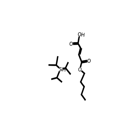 CC(C)[SiH](C(C)C)C(C)C.CCCCCOC(=O)/C=C/C(=O)O